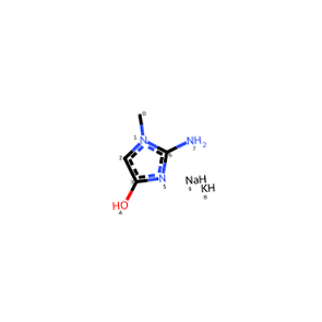 Cn1cc(O)nc1N.[KH].[NaH]